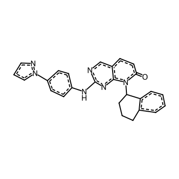 O=c1ccc2cnc(Nc3ccc(-n4cccn4)cc3)nc2n1C1CCCc2ccccc21